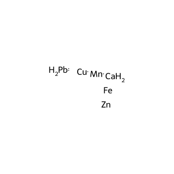 [CaH2].[Cu].[Fe].[Mn].[PbH2].[Zn]